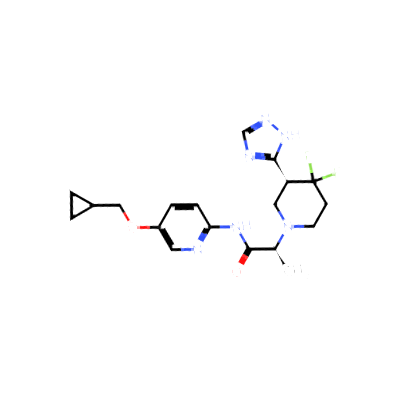 C[C@@H](C(=O)Nc1ccc(OCC2CC2)cn1)N1CCC(F)(F)[C@H](c2ncn[nH]2)C1